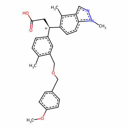 COc1ccc(COCc2cc([C@@H](CC(=O)O)c3ccc4c(cnn4C)c3C)ccc2C)cc1